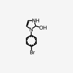 OC1NC=CN1c1ccc(Br)cc1